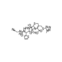 CO[C@@]1(NC(=O)C(NC(=O)NCC#N)c2cccs2)C(=O)N2C(C(=O)O)=C(CSc3nnnn3C)CSC21